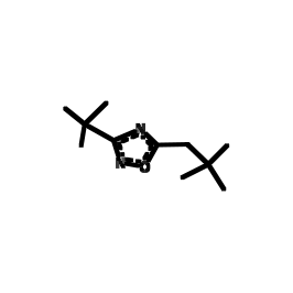 CC(C)(C)Cc1nc(C(C)(C)C)no1